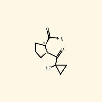 CC1(C(=O)N2CCC[C@H]2C(N)=O)CC1